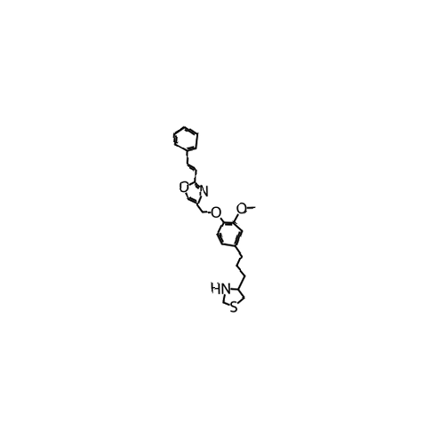 COc1cc(CCCC2CSCN2)ccc1OCc1coc(/C=C/c2ccccc2)n1